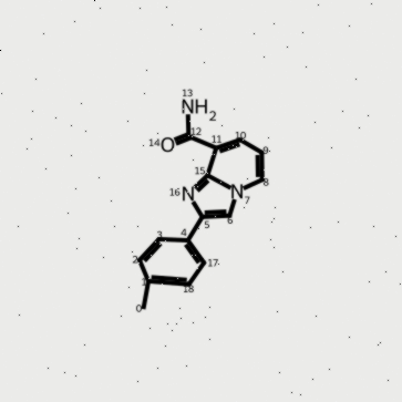 Cc1ccc(-c2cn3cccc(C(N)=O)c3n2)cc1